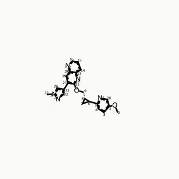 COc1ccc(C2C[C@@H]2COc2nc3cccnc3cc2-c2cnn(C)c2)nc1